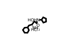 Cl.N[C@H](CC1CCCCC1)C(O)C(=O)NC1CCCC1